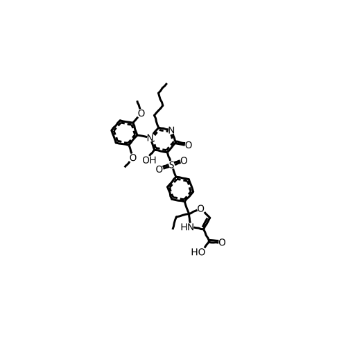 CCCCc1nc(=O)c(S(=O)(=O)c2ccc(C3(CC)NC(C(=O)O)=CO3)cc2)c(O)n1-c1c(OC)cccc1OC